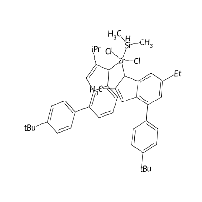 CCc1cc(-c2ccc(C(C)(C)C)cc2)c2c(c1)[CH]([Zr]([Cl])([Cl])([CH]1C(C(C)C)=Cc3c(-c4ccc(C(C)(C)C)cc4)cccc31)[SiH](C)C)C(C)=C2